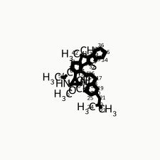 COC1(NC(C)C)C2(C)c3ccc4c(c3-c3ccc5cc(CC(C)C)ccc5[n+]3C12C)-c1sc2ccccc2c1C4(C)C